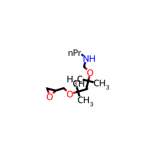 CCCNCOC(C)(C)CC(C)(C)OCC1CO1